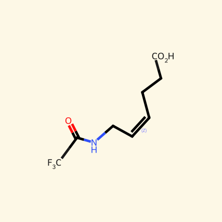 O=C(O)CC/C=C\CNC(=O)C(F)(F)F